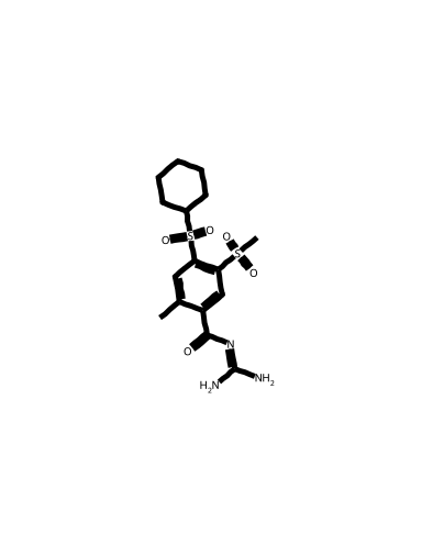 Cc1cc(S(=O)(=O)C2CCCCC2)c(S(C)(=O)=O)cc1C(=O)N=C(N)N